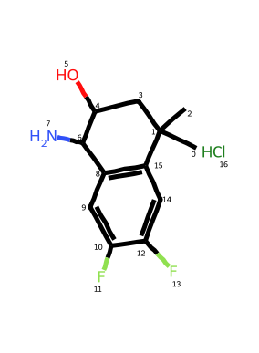 CC1(C)CC(O)C(N)c2cc(F)c(F)cc21.Cl